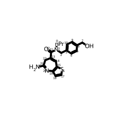 CCCN(Cc1ccc(CO)cc1)C(=O)C1=Cc2sccc2N=C(N)C1